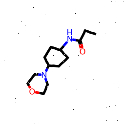 CCC(=O)NC1CCC(N2CCOCC2)CC1